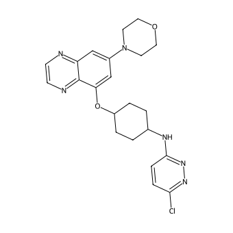 Clc1ccc(NC2CCC(Oc3cc(N4CCOCC4)cc4nccnc34)CC2)nn1